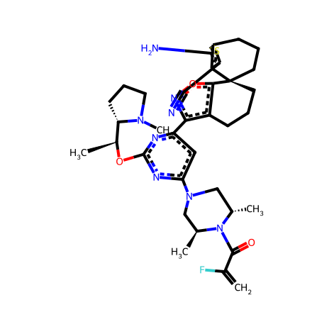 C=C(F)C(=O)N1[C@@H](C)CN(c2cc(-c3noc4c3CCC[C@@]43CCCc4sc(N)c(C#N)c43)nc(O[C@@H](C)[C@@H]3CCCN3C)n2)C[C@@H]1C